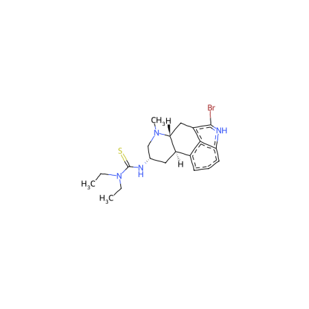 CCN(CC)C(=S)N[C@H]1C[C@@H]2c3cccc4[nH]c(Br)c(c34)C[C@H]2N(C)C1